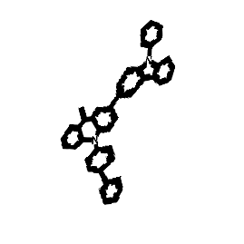 C=C1c2ccccc2N(c2ccc(-c3ccccc3)cc2)c2ccc(-c3ccc4c(c3)c3ccccc3n4-c3ccccc3)cc21